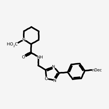 CCCCCCCCCCc1ccc(-c2noc(CNC(=O)C3CCCCN3C(=O)O)n2)cc1